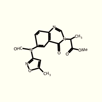 COC(=O)C(C)n1cnc2ccc(N(C=O)c3cc(C)on3)cc2c1=O